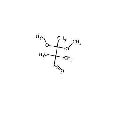 COC(C)(OC)C(C)(C)C=O